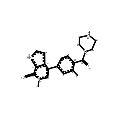 Cc1cc(-c2cn(C)c(=O)c3[nH]ccc23)ccc1C(=O)N1CCNCC1